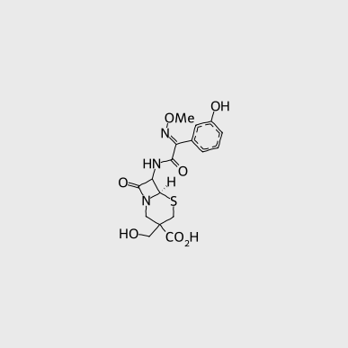 CON=C(C(=O)NC1C(=O)N2CC(CO)(C(=O)O)CS[C@H]12)c1cccc(O)c1